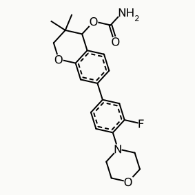 CC1(C)COc2cc(-c3ccc(N4CCOCC4)c(F)c3)ccc2C1OC(N)=O